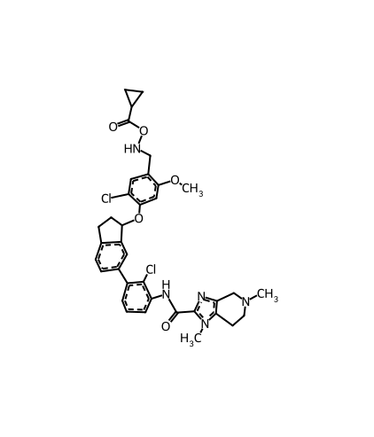 COc1cc(OC2CCc3ccc(-c4cccc(NC(=O)c5nc6c(n5C)CCN(C)C6)c4Cl)cc32)c(Cl)cc1CNOC(=O)C1CC1